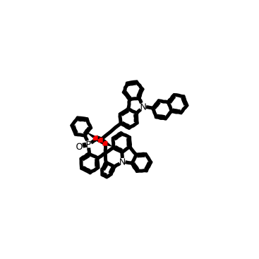 O=P1(c2ccccc2)c2ccccc2C2(c3ccccc3-n3c4ccccc4c4cccc2c43)c2cc(-c3ccc4c(c3)c3ccccc3n4-c3ccc4ccccc4c3)ccc21